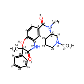 CC(C)N(C(=O)c1ccc2c(c1)NC(=O)C(C)(c1ccccc1)O2)[C@@H]1CCCN(C(=O)O)C1